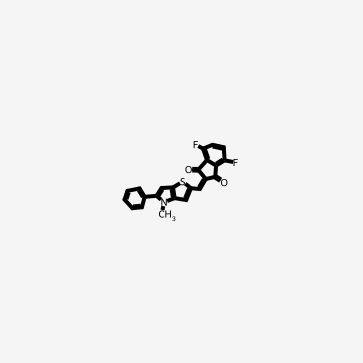 Cn1c(-c2ccccc2)cc2sc(C=C3C(=O)c4c(F)ccc(F)c4C3=O)cc21